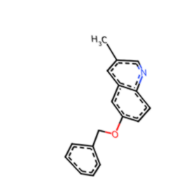 Cc1cnc2ccc(OCc3ccccc3)cc2c1